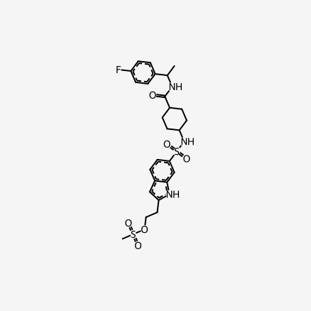 CC(NC(=O)C1CCC(NS(=O)(=O)c2ccc3cc(CCOS(C)(=O)=O)[nH]c3c2)CC1)c1ccc(F)cc1